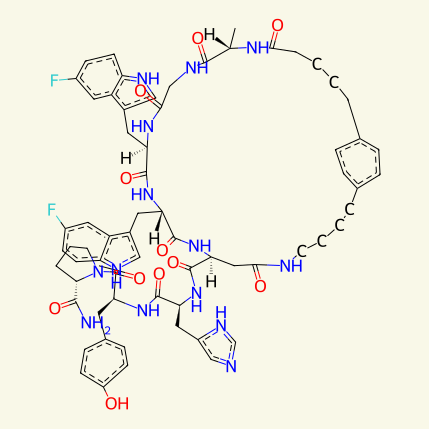 C[C@@H]1NC(=O)CCCCc2ccc(cc2)CCCCNC(=O)C[C@@H](C(=O)N[C@@H](Cc2cnc[nH]2)C(=O)N[C@@H](Cc2ccc(O)cc2)C(=O)N2CCC[C@H]2C(N)=O)NC(=O)[C@H](Cc2c[nH]c3ccc(F)cc23)NC(=O)[C@@H](Cc2c[nH]c3ccc(F)cc23)NC(=O)CNC1=O